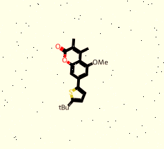 COc1cc(-c2ccc(C(C)(C)C)s2)cc2oc(=O)c(C)c(C)c12